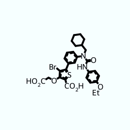 CCOc1ccc(NC(=O)N(CC2CCCCC2)c2cccc(-c3sc(C(=O)O)c(OCC(=O)O)c3Br)c2)cc1